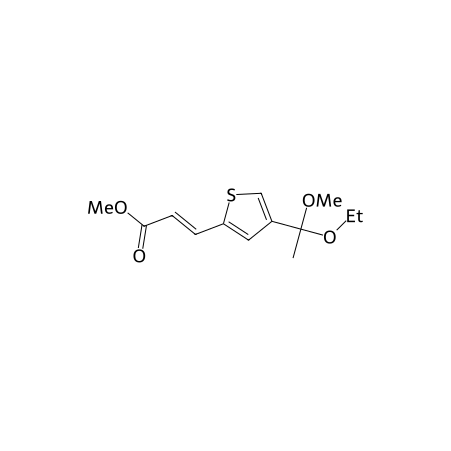 CCOC(C)(OC)c1csc(/C=C/C(=O)OC)c1